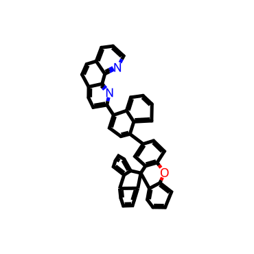 c1ccc2c(c1)Oc1ccc(-c3ccc(-c4ccc5ccc6cccnc6c5n4)c4ccccc34)cc1C21c2ccccc2-c2ccccc21